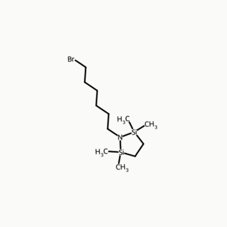 C[Si]1(C)CC[Si](C)(C)N1CCCCCCBr